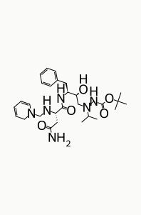 CC(C)N(C[C@H](O)[C@H](Cc1ccccc1)NC(=O)[C@H](CC(N)=O)NCN1C=CC=CC1)NC(=O)OC(C)(C)C